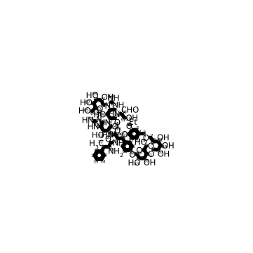 CCOc1cc(COCC2OC(OC3C(CO)OC(Oc4ccc(CC(NC(=O)C(N)C(C)c5ccccc5)C(=O)NC(C(=O)NC(C(=O)NC([C]=O)CO)C(O)C5CNC(=N)N5C5OC(CO)C(O)C(O)C5O)C(O)C5CNC(=N)N5)cc4)C(O)C3O)C(O)C(O)C2O)ccc1OC